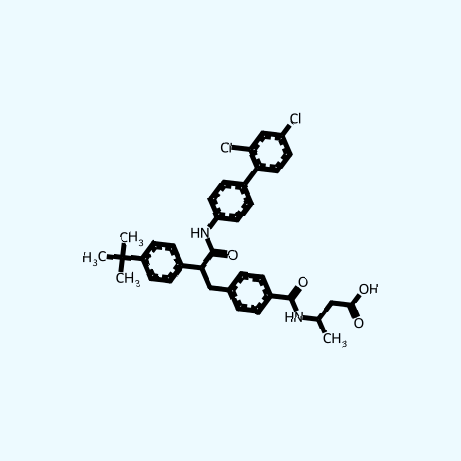 CC(CC(=O)O)NC(=O)c1ccc(CC(C(=O)Nc2ccc(-c3ccc(Cl)cc3Cl)cc2)c2ccc(C(C)(C)C)cc2)cc1